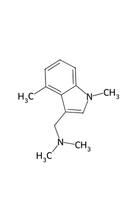 Cc1cccc2c1c(CN(C)C)cn2C